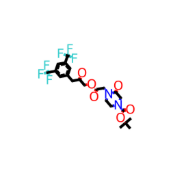 CC(C)(C)OC(=O)N1CCN(CC(=O)OCC(=O)Cc2cc(C(F)(F)F)cc(C(F)(F)F)c2)C(=O)C1